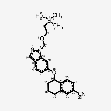 C[Si](C)(C)CCOCn1ncc2ncc(OC3CCCc4cc(C#N)ccc43)cc21